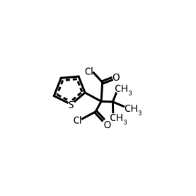 CC(C)(C)C(C(=O)Cl)(C(=O)Cl)c1cccs1